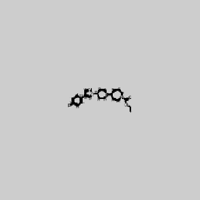 CCOC(=O)N1CCCC(N2CCC(n3cc(-c4ccc(F)cc4)cn3)CC2)CC1